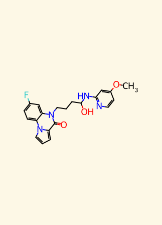 COc1ccnc(NC(O)CCCn2c(=O)c3cccn3c3ccc(F)cc32)c1